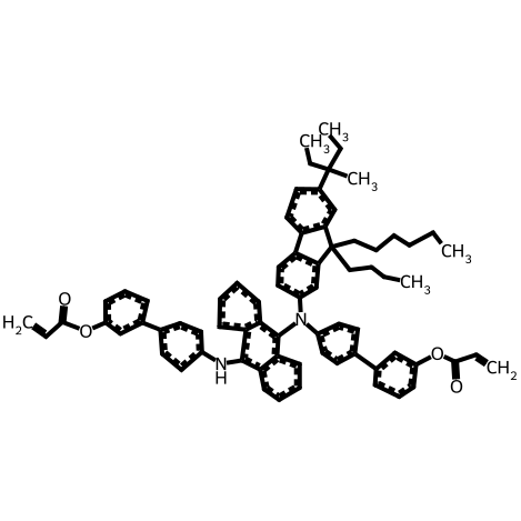 C=CC(=O)Oc1cccc(-c2ccc(Nc3c4ccccc4c(N(c4ccc(-c5cccc(OC(=O)C=C)c5)cc4)c4ccc5c(c4)C(CCCC)(CCCCCC)c4cc(C(C)(CC)CC)ccc4-5)c4ccccc34)cc2)c1